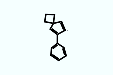 [C]1=CC2(C=C1c1ccccc1)CCC2